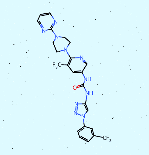 O=C(Nc1cnc(N2CCN(c3ncccn3)CC2)c(C(F)(F)F)c1)Nc1cn(-c2cccc(C(F)(F)F)c2)nn1